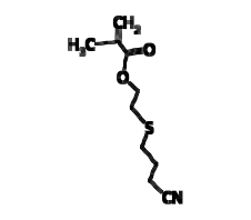 C=C(C)C(=O)OCCSCCCC#N